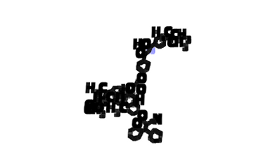 COC(=O)CCC(C)C1CC[C@H]2[C@@H]3C(CCC12C)C1(C)CCC(OC(=O)C(C#N)=C(c2ccccc2)c2ccccc2)C[C@@H]1C[C@@H]3OC(=O)COc1ccc(C(=O)/C=C(\O)c2ccc(C(C)(C)C)cc2)cc1